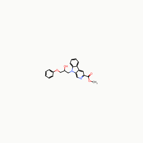 COC(=O)c1cc2c3ccccc3n(CC(O)COc3ccccc3)c2cn1